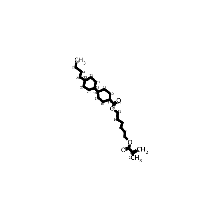 C=C(C)C(=O)OCCCCCCOC(=O)C1CCC(C2CCC(CCCC)CC2)CC1